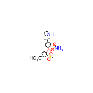 CC(C)(c1ccc(Oc2ccc(C(=O)O)cc2S(C)(=O)=O)c(S(N)(=O)=O)c1)C1CCCN1